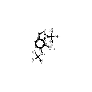 [2H]C([2H])([2H])Oc1ccc2cnn(C([2H])([2H])[2H])c2c1[N+](=O)[O-]